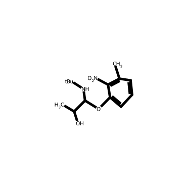 Cc1cccc(OC(NC(C)(C)C)C(C)O)c1[N+](=O)[O-]